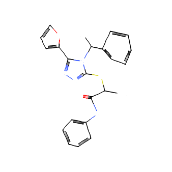 CC(Sc1nnc(-c2ccco2)n1C(C)c1ccccc1)C(=O)Nc1ccccc1